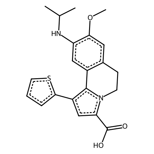 COc1cc2c(cc1NC(C)C)-c1c(-c3cccs3)cc(C(=O)O)n1CC2